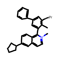 Cc1c(-c2c3ccc(C4CCCC4)cc3cc[n+]2C)cc(-c2ccccc2)cc1C(C)C